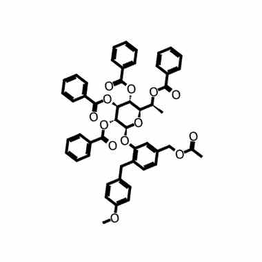 COc1ccc(Cc2ccc(COC(C)=O)cc2O[C@@H]2O[C@H]([C@H](C)OC(=O)c3ccccc3)[C@@H](OC(=O)c3ccccc3)[C@H](OC(=O)c3ccccc3)[C@H]2OC(=O)c2ccccc2)cc1